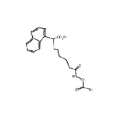 CCOC(=O)C(CCCCCC(=O)NOC(=O)CC)c1cccc2ccccc12